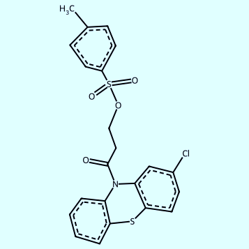 Cc1ccc(S(=O)(=O)OCCC(=O)N2c3ccccc3Sc3ccc(Cl)cc32)cc1